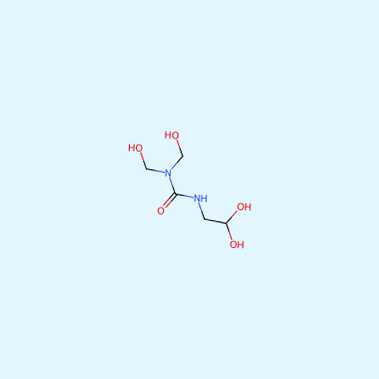 O=C(NCC(O)O)N(CO)CO